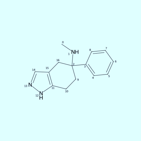 CNC1(c2ccccc2)CCc2[nH]ncc2C1